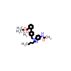 CCCCc1nc2cc(NC(C)=O)ccc2n1Cc1ccc(-c2ccccc2C(=O)OC(C)(C)C)cc1